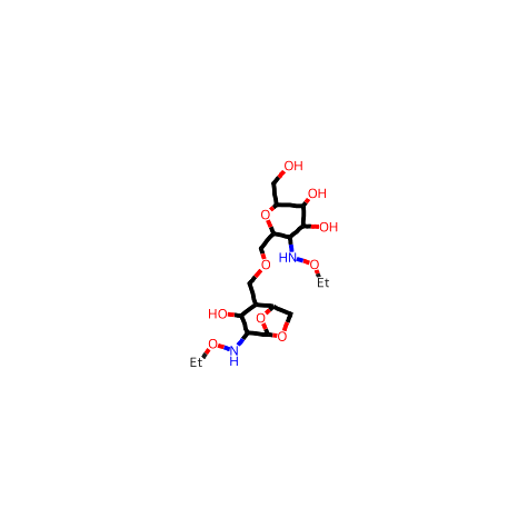 CCONC1C(COCC2C3COC(O3)C(NOCC)C2O)OC(CO)C(O)C1O